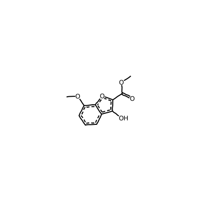 COC(=O)c1oc2c(OC)cccc2c1O